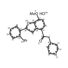 COc1ccc(C(=O)Cc2ccncc2)c2cc(-c3ccccc3C(C)C)oc12.Cl